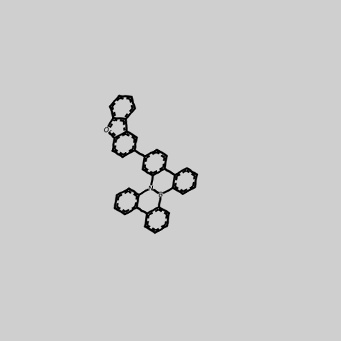 c1ccc2c(c1)B1c3ccccc3-c3ccc(-c4ccc5oc6ccccc6c5c4)cc3N1c1ccccc1-2